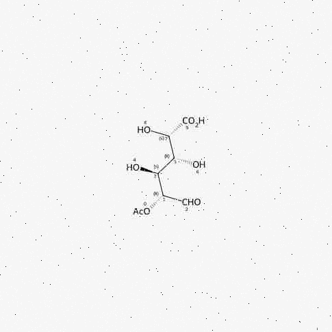 CC(=O)O[C@@H](C=O)[C@@H](O)[C@@H](O)[C@H](O)C(=O)O